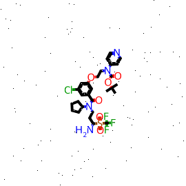 CC(C)(C)OC(=O)N(CCOc1cc(Cl)cc(C(=O)N(CCC(N)S(=O)(=O)C(F)(F)F)C2CCCC2)c1)c1ccncc1